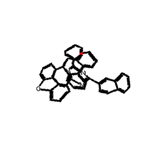 c1ccc(-c2nc(-c3ccc4ccccc4c3)nc(-c3cccc4oc5cccc(-c6cc7ccccc7c7ccccc67)c5c34)n2)cc1